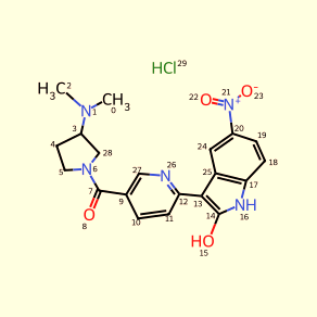 CN(C)C1CCN(C(=O)c2ccc(-c3c(O)[nH]c4ccc([N+](=O)[O-])cc34)nc2)C1.Cl